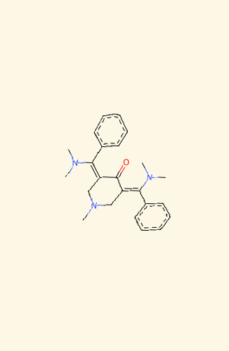 CN1CC(=C(c2ccccc2)N(C)C)C(=O)C(=C(c2ccccc2)N(C)C)C1